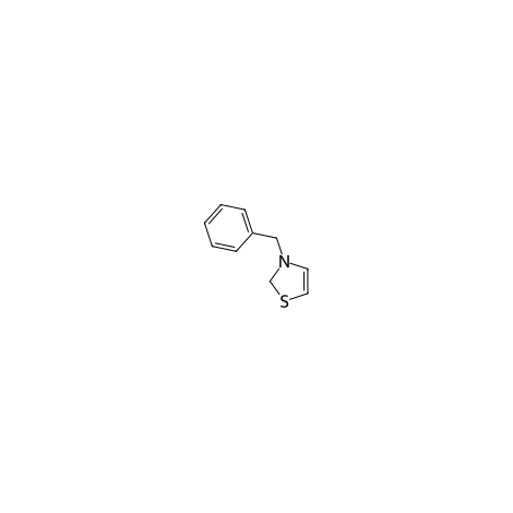 C1=CN(Cc2ccccc2)CS1